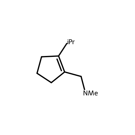 CNCC1=C(C(C)C)CCC1